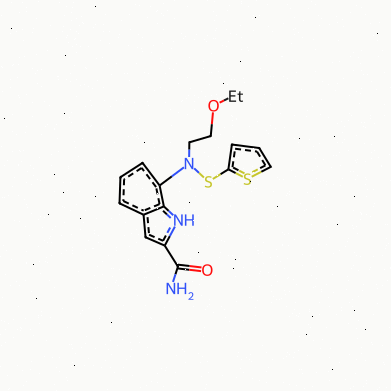 CCOCCN(Sc1cccs1)c1cccc2cc(C(N)=O)[nH]c12